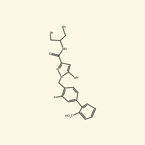 CCCc1cc(C(=O)NC(CS)CC(C)C)nn1Cc1ccc(-c2ccccc2C(=O)O)cc1F